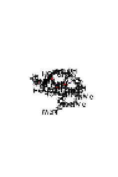 CNCCOc1ccc(S(=O)(=O)NC(=O)C[C@@H]2NC(=O)[C@H](NC(=O)[C@@H](CC(C)C)NC)[C@H](O)c3ccc(c(Cl)c3)Oc3cc4cc(c3O)Oc3ccc(cc3Cl)[C@@H](O)[C@@H]3NC(=O)[C@H](NC(=O)[C@@H]4NC2=O)c2ccc(O)c(c2)-c2c(O)cc(O)cc2[C@@H](C(=O)NC2C4CC5CC(C4)CC2C5)NC3=O)cc1OCCNC